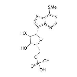 CSc1ncnc2c1ncn2[C@@H]1O[C@H](COP(=O)(O)O)C(O)C1O